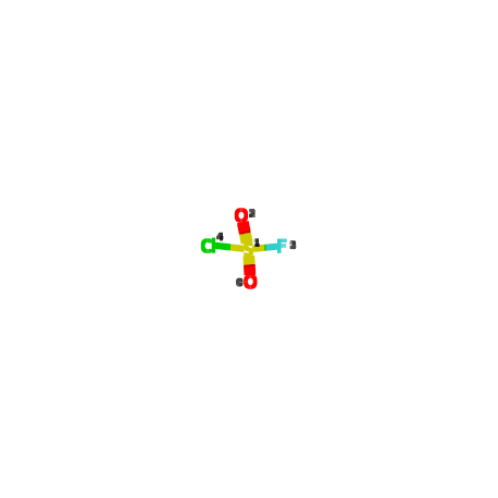 O=S(=O)(F)Cl